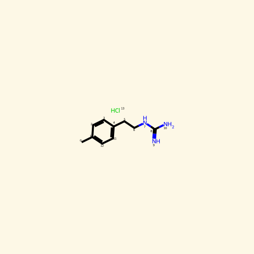 Cc1ccc(CCNC(=N)N)cc1.Cl